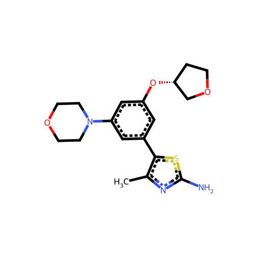 Cc1nc(N)sc1-c1cc(O[C@@H]2CCOC2)cc(N2CCOCC2)c1